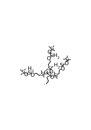 [CH2]CC[Si](O[Si](C)(C)CCO[SiH2]O[Si](C)(C)C)(O[Si](C)(C)CCO[SiH2]O[Si](C)(C)C)O[Si](C)(C)CCO[SiH2]O[Si](C)(C)C